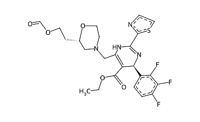 CCOC(=O)C1=C(CN2CCO[C@@H](CCOC=O)C2)NC(c2nccs2)=N[C@H]1c1ccc(F)c(F)c1F